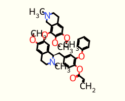 C=CC(=O)Oc1ccc(C[C@@H]2c3cc(Oc4c5c(cc(OC)c4OC)CCN(C)C5)c(OC)cc3CCN2C)cc1Oc1ccccc1